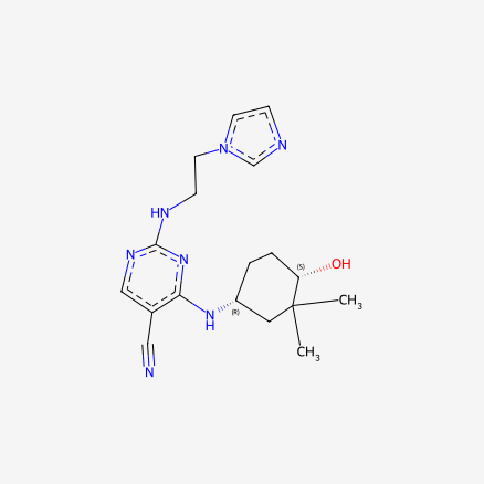 CC1(C)C[C@H](Nc2nc(NCCn3ccnc3)ncc2C#N)CC[C@@H]1O